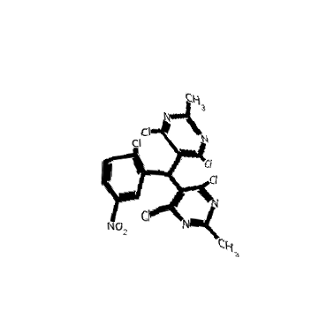 Cc1nc(Cl)c(C(c2cc([N+](=O)[O-])ccc2Cl)c2c(Cl)nc(C)nc2Cl)c(Cl)n1